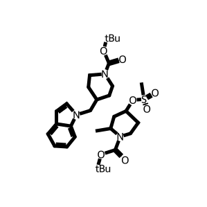 CC(C)(C)OC(=O)N1CCC(Cn2ccc3ccccc32)CC1.CC1CC(OS(C)(=O)=O)CCN1C(=O)OC(C)(C)C